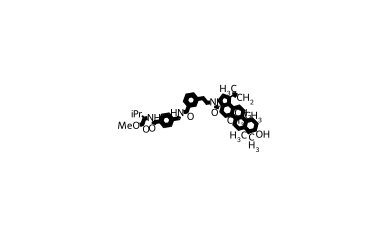 C=C(C)[C@@H]1CC[C@]2(C(=O)NCCc3cccc(C(=O)NCc4ccc(C(=O)N[C@@H](C(=O)OC)C(C)C)cc4)c3)CC[C@]3(C)C(CCC4[C@@]5(C)CC[C@H](O)C(C)(C)C5CC[C@]43C)C12